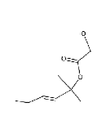 CC/C=C/C(C)(C)OC(=O)C[O]